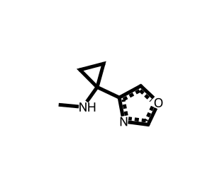 CNC1(c2cocn2)CC1